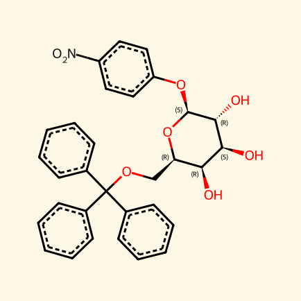 O=[N+]([O-])c1ccc(O[C@@H]2O[C@H](COC(c3ccccc3)(c3ccccc3)c3ccccc3)[C@H](O)[C@H](O)[C@H]2O)cc1